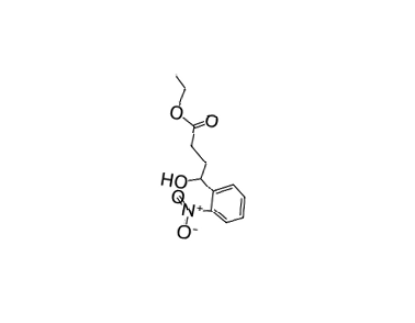 CCOC(=O)CCC(O)c1ccccc1[N+](=O)[O-]